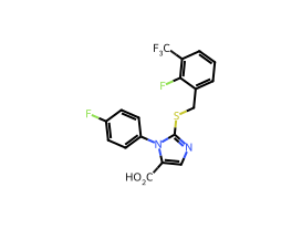 O=C(O)c1cnc(SCc2cccc(C(F)(F)F)c2F)n1-c1ccc(F)cc1